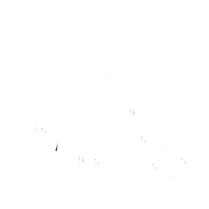 COCCN(CC1CC1C)c1cc(-c2nnc([C@](C)(N)Cc3ccccc3)o2)c(Cl)c(N(C)S(=O)(=O)N2CCNCC2)n1